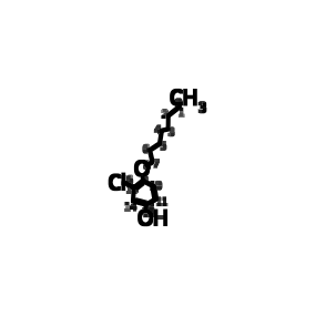 CCCCCCCCOc1ccc(O)cc1Cl